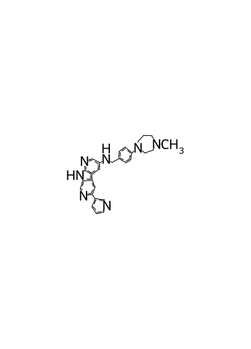 CN1CCCN(c2ccc(CNc3cnc4[nH]c5cnc(-c6cccnc6)cc5c4c3)cc2)CC1